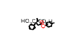 C=C(C(=O)O)C(CC(=O)Oc1ccc(C)cc1)(C(=O)O)c1ccccc1